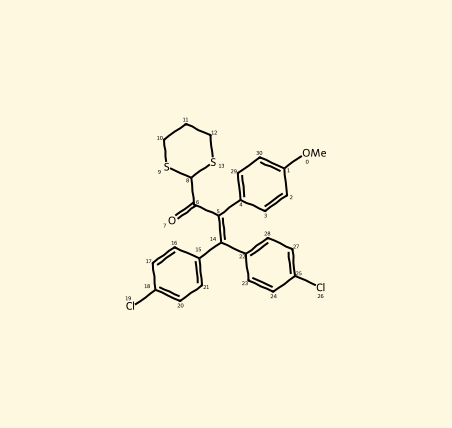 COc1ccc(C(C(=O)C2SCCCS2)=C(c2ccc(Cl)cc2)c2ccc(Cl)cc2)cc1